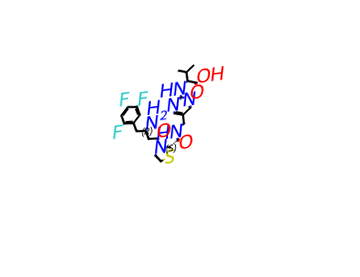 CC(C)C(Nc1ncc(CNC(=O)[C@@H]2SCCN2C(=O)C[C@H](N)Cc2cc(F)c(F)cc2F)cn1)C(=O)O